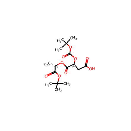 C[C@H](OC(=O)[C@H](CC(=O)O)OC(=O)OC(C)(C)C)C(=O)OC(C)(C)C